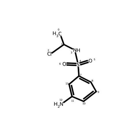 CC(Cl)NS(=O)(=O)c1cccc(N)c1